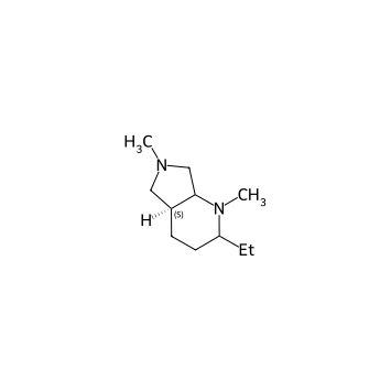 CCC1CC[C@H]2CN(C)CC2N1C